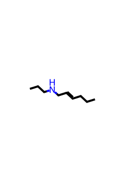 CCCC=CCNCCC